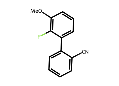 COc1cccc(-c2ccccc2C#N)c1F